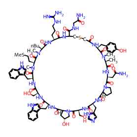 CCCC[C@H]1C(=O)N[C@@H](CCCNC(=N)N)C(=O)NC(C(=O)NCC(N)=O)CSCC(=O)N[C@@H](Cc2ccc(O)cc2)C(=O)N(C)[C@@H](C)C(=O)N[C@@H](CC(N)=O)C(=O)N2CCC[C@H]2C(=O)N[C@@H](Cc2cnc[nH]2)C(=O)N[C@@H](CO)C(=O)N2C[C@H](O)C[C@H]2C(=O)N[C@@H](Cc2c[nH]c3ccccc23)C(=O)N[C@@H](CO)C(=O)N[C@@H](Cc2c[nH]c3ccccc23)C(=O)N(C)[C@@H](CCSC)C(=O)N1C